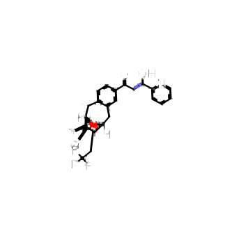 O=C(/C=C(\O)c1ccccn1)c1ccc2c(c1)C[C@H]1CC[C@@H](C2)[C@]12CN(CC(F)(F)F)S(=O)(=O)N2